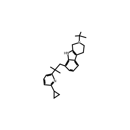 CC(C)(Cc1cccc2c3c([nH]c12)CN(C(C)(C)C)CC3)c1cccc(C2CC2)n1